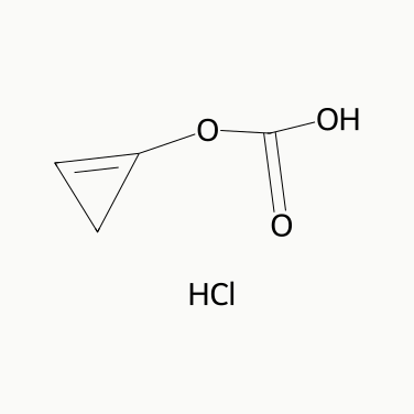 Cl.O=C(O)OC1=CC1